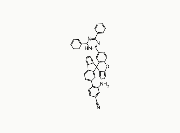 N#Cc1ccc(-c2ccc3c(c2)C2(c4ccccc4Oc4ccc(C5=NC(c6ccccc6)=NC(c6ccccc6)N5)cc42)c2ccccc2-3)c(N)c1